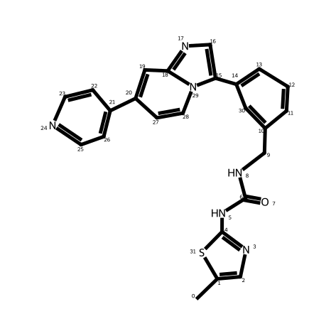 Cc1cnc(NC(=O)NCc2cccc(-c3cnc4cc(-c5ccncc5)ccn34)c2)s1